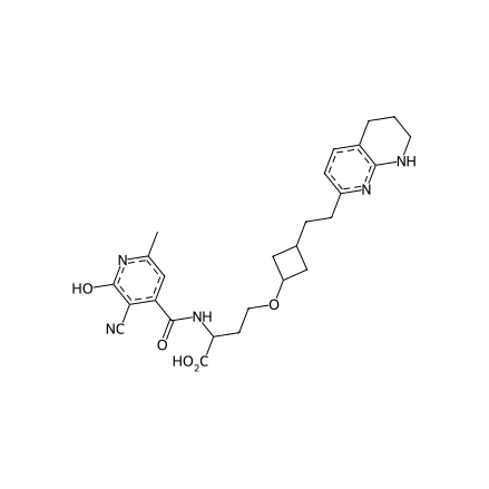 Cc1cc(C(=O)NC(CCOC2CC(CCc3ccc4c(n3)NCCC4)C2)C(=O)O)c(C#N)c(O)n1